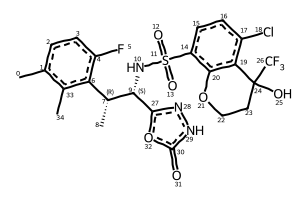 Cc1ccc(F)c([C@@H](C)[C@H](NS(=O)(=O)c2ccc(Cl)c3c2OCCC3(O)C(F)(F)F)c2n[nH]c(=O)o2)c1C